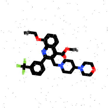 CCOc1cccc2c(C(=O)OC)c(CN3CCC(N4CCOCC4)CC3)c(-c3cccc(C(F)(F)F)c3)nc12